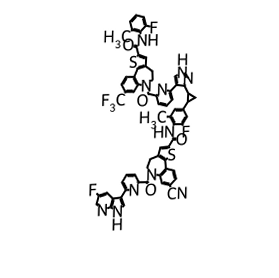 Cc1cccc(F)c1NC(=O)c1cc2c(s1)-c1ccc(C(F)(F)F)cc1N(C(=O)c1cccc(-c3c[nH]nc3C3CC3c3cc(C)c(NC(=O)c4cc5c(s4)-c4ccc(C#N)cc4N(C(=O)c4cccc(-c6c[nH]c7ncc(F)cc67)n4)CC5)c(F)c3)n1)CC2